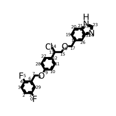 Fc1ccc(F)c(COc2ccc(C(Cl)COCc3ccc4[nH]cnc4c3)cc2)c1